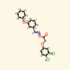 O=C(COc1ccc(Cl)c(Cl)c1)ON=Cc1cccc(Oc2ccccc2)c1